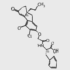 CCC[C@]12CCC(=O)C=C1c1c(cc(OCC(=O)N[C@@H](Cc3ccccc3)C(=O)O)c(Cl)c1Cl)C2